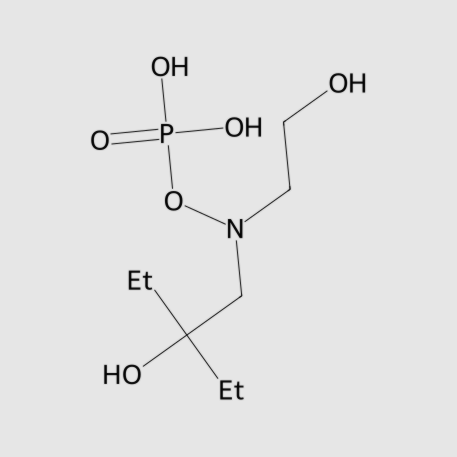 CCC(O)(CC)CN(CCO)OP(=O)(O)O